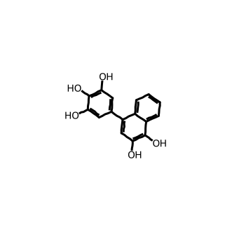 Oc1cc(-c2cc(O)c(O)c3ccccc23)cc(O)c1O